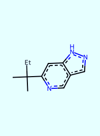 CCC(C)(C)c1cc2[nH]ncc2cn1